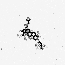 CC(C)C1=C2[C@H]3CCC4[C@@]5(C)CC[C@H](OC(=O)CC(C)(C)C(=O)O)C(C)(C)C5CC[C@@]4(C)[C@]3(C)CC[C@@]2(CCNCC2COC2)CC1=O